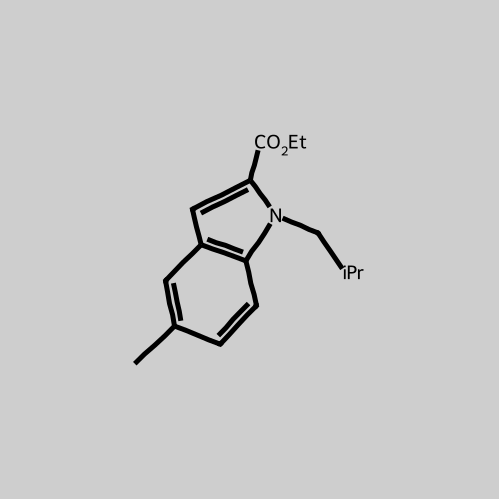 CCOC(=O)c1cc2cc(C)ccc2n1CC(C)C